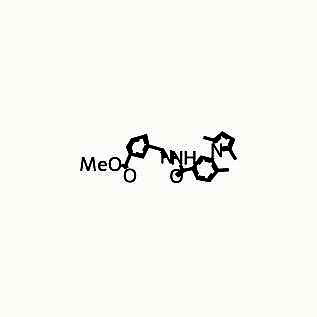 COC(=O)c1cccc(/C=N/NC(=O)c2ccc(C)c(-n3c(C)ccc3C)c2)c1